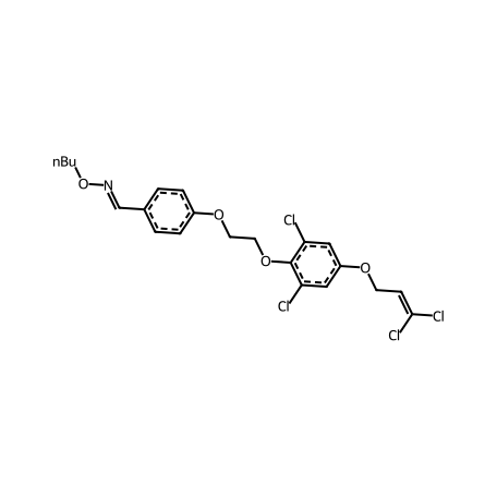 CCCCON=Cc1ccc(OCCOc2c(Cl)cc(OCC=C(Cl)Cl)cc2Cl)cc1